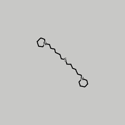 C(CCCN1CCCCC1)CCSCCCCCCN1CCCCC1